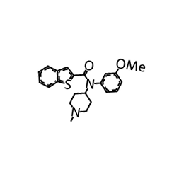 COc1cccc(N(C(=O)c2cc3ccccc3s2)C2CCN(C)CC2)c1